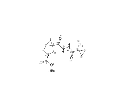 CC(C)(C)OC(=O)N1CC2CC2(C(=O)NNC(=O)C2(C(F)(F)F)CC2)C1